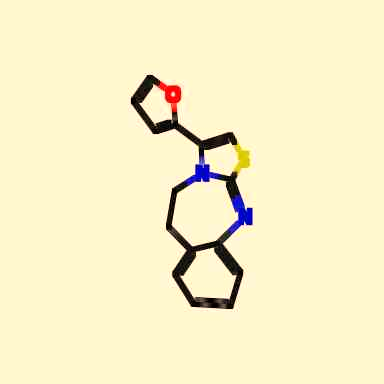 C1=C(c2ccco2)N2CCc3ccccc3N=C2S1